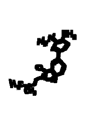 CN(C)CCn1cnc2ccc(-c3ccc(N)c(N)c3)cc2c1=O